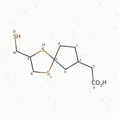 O=C(O)CC1CCC2(C1)SCC(CS)S2